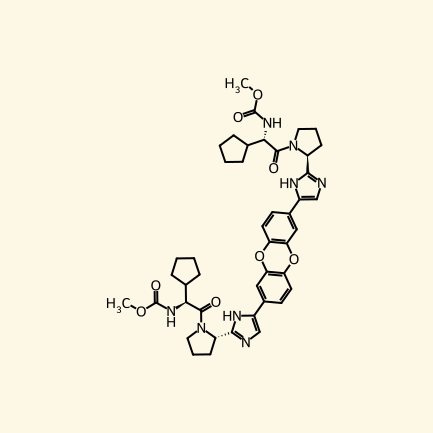 COC(=O)N[C@H](C(=O)N1CCC[C@H]1c1ncc(-c2ccc3c(c2)Oc2ccc(-c4cnc([C@@H]5CCCN5C(=O)[C@@H](NC(=O)OC)C5CCCC5)[nH]4)cc2O3)[nH]1)C1CCCC1